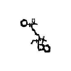 CC[N+]1=C(/C=C/C=C/N(C(C)=O)c2ccccc2)C(C)(C)c2c1ccc1ccccc21